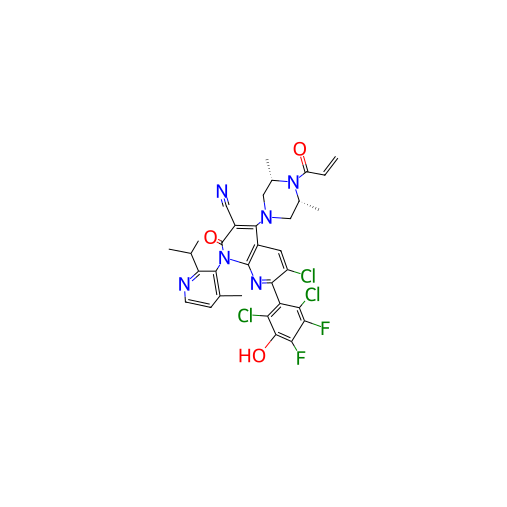 C=CC(=O)N1[C@H](C)CN(c2c(C#N)c(=O)n(-c3c(C)ccnc3C(C)C)c3nc(-c4c(Cl)c(O)c(F)c(F)c4Cl)c(Cl)cc23)C[C@@H]1C